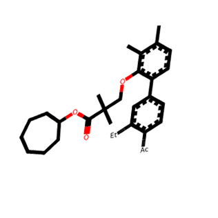 CCc1cc(-c2ccc(C)c(C)c2OCC(C)(C)C(=O)OC2CCCCCC2)ccc1C(C)=O